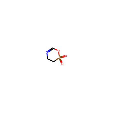 O=S1(=O)CCN=CO1